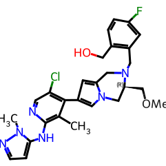 COC[C@H]1Cn2cc(-c3c(Cl)cnc(Nc4ccnn4C)c3C)cc2CN1Cc1cc(F)ccc1CO